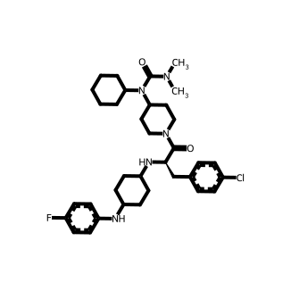 CN(C)C(=O)N(C1CCCCC1)C1CCN(C(=O)[C@@H](Cc2ccc(Cl)cc2)NC2CCC(Nc3ccc(F)cc3)CC2)CC1